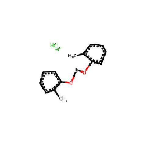 Cc1ccccc1[O][Ti][O]c1ccccc1C.Cl.Cl